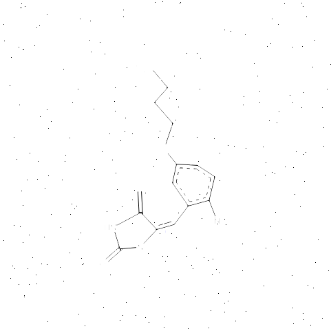 CCOC(=O)CCCOc1ccc([N+](=O)[O-])c(/C=C2/NC(=O)NC2=O)c1